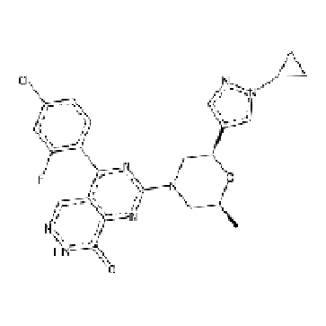 C[C@H]1CN(c2nc(-c3ccc(Cl)cc3F)c3cn[nH]c(=O)c3n2)C[C@@H](c2cnn(C3CC3)c2)O1